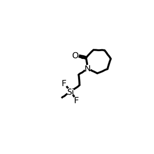 C[Si](F)(F)CCN1CCCCCC1=O